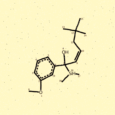 COc1cccc(C(O)(/C=C\CC(C)(C)C)[SiH](C)C)c1